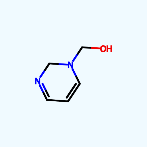 OCN1C=CC=NC1